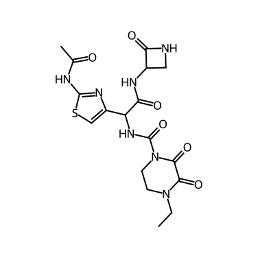 CCN1CCN(C(=O)NC(C(=O)NC2CNC2=O)c2csc(NC(C)=O)n2)C(=O)C1=O